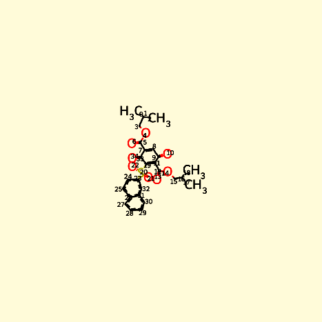 CC(C)COC(=O)C1=CC(=O)C(C(=O)OCC(C)C)=C(S(=O)(=O)c2ccc3ccccc3c2)C1=O